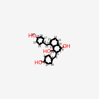 Oc1ccc(Cc2cc(O)c3cccc(Cc4ccc(O)cc4)c3c2O)cc1